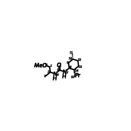 COCC(C)NC(=O)N[C@H]1C[C@H](C)CC[C@H]1C(C)C